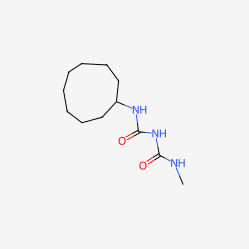 CNC(=O)NC(=O)NC1CCCCCCCC1